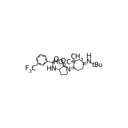 CC(C)(C)N[C@@H]1CC[C@H](N2CCC(NC(=O)c3cccc(C(F)(F)F)c3)C2=O)[C@](C)(C(=O)O)C1